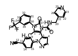 Cc1c(-c2ccnn2-c2ccc(C#N)cc2)n(C(=O)NCc2ccncc2)c(=O)n1-c1cccc(C(F)(F)F)c1